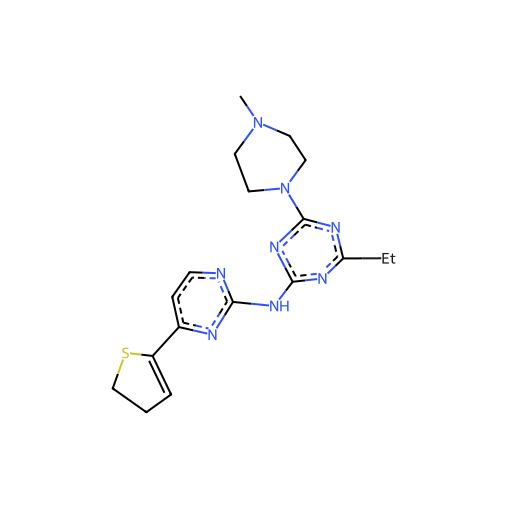 CCc1nc(Nc2nccc(C3=CCCS3)n2)nc(N2CCN(C)CC2)n1